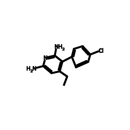 CCc1cc(N)nc(N)c1-c1ccc(Cl)cc1